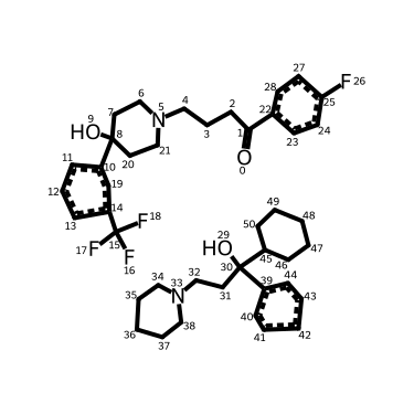 O=C(CCCN1CCC(O)(c2cccc(C(F)(F)F)c2)CC1)c1ccc(F)cc1.OC(CCN1CCCCC1)(c1ccccc1)C1CCCCC1